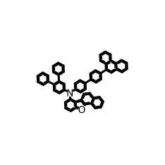 c1ccc(-c2ccc(N(c3ccc(-c4ccc(-c5cc6ccccc6c6ccccc56)cc4)cc3)c3cccc4oc5c6ccccc6ccc5c34)cc2-c2ccccc2)cc1